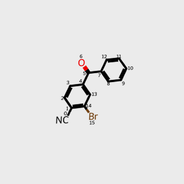 N#Cc1ccc(C(=O)c2ccccc2)cc1Br